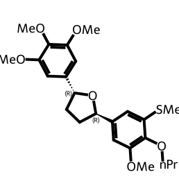 CCCOc1c(OC)cc([C@H]2CC[C@H](c3cc(OC)c(OC)c(OC)c3)O2)cc1SC